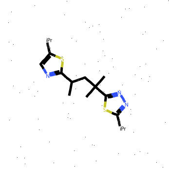 CC(C)c1cnc(C(C)CC(C)(C)c2nnc(C(C)C)s2)s1